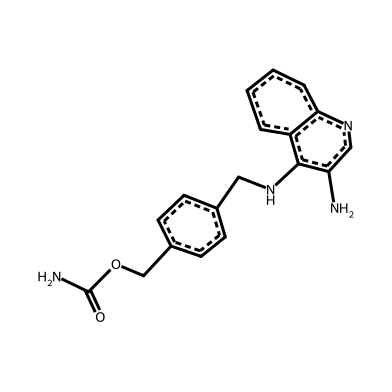 NC(=O)OCc1ccc(CNc2c(N)cnc3ccccc23)cc1